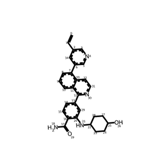 C=Cc1cncc(-c2cccc3c(-c4ccc(C(N)=O)c(NC5CCC(O)CC5)c4)nccc23)c1